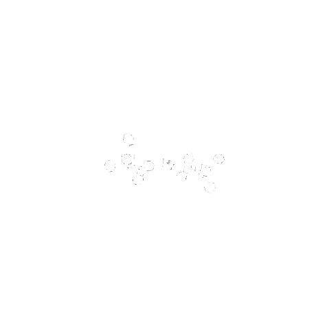 c1ccc(-c2cc(-c3ccccc3)nc(-n3c4ccccc4c4cc(-c5nnc(-c6cccc7c6c6ccccc6n7-c6nc(-c7ccccc7)cc(-c7ccccc7)n6)s5)ccc43)n2)cc1